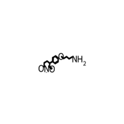 CN1C(=O)CCC(c2ccc(OCCCCN)cc2)C1=O